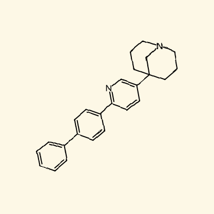 c1ccc(-c2ccc(-c3ccc(C45CCCN(CCC4)C5)cn3)cc2)cc1